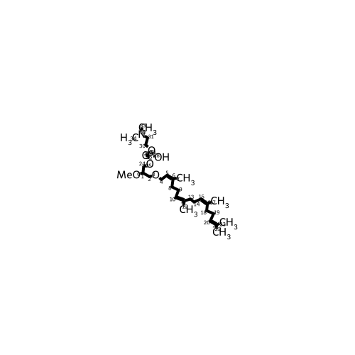 COC(COCC=C(C)CCC=C(C)CCC=C(C)CCC=C(C)C)COP(=O)(O)OCCN(C)C